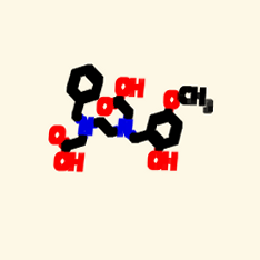 COc1ccc(O)c(CN(CCN(CC(=O)O)Cc2ccccc2)CC(=O)O)c1